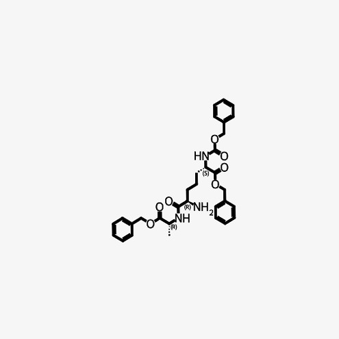 C[C@@H](NC(=O)[C@H](N)CCC[C@H](NC(=O)OCc1ccccc1)C(=O)OCc1ccccc1)C(=O)OCc1ccccc1